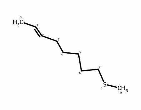 CC=CCCCCCSC